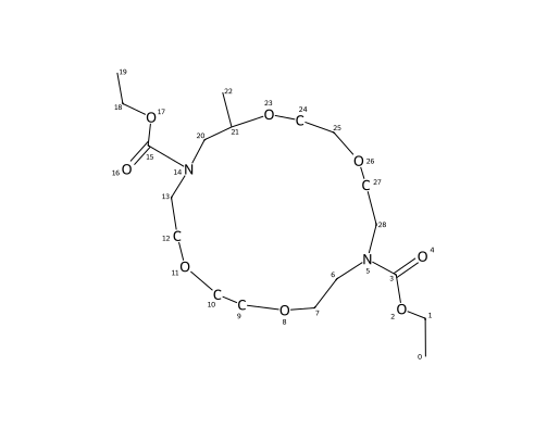 CCOC(=O)N1CCOCCOCCN(C(=O)OCC)CC(C)OCCOCC1